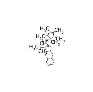 CC1=C(C)[C](C)([Hf][C]2=C(C(C)(C)C)c3cc4ccccc4cc3C2)C(C)=C1C